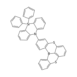 c1ccc([Si]2(c3ccccc3)c3ccccc3N(c3ccc4c(c3)Sc3cccc5c3B4c3ccccc3S5)c3ccccc32)cc1